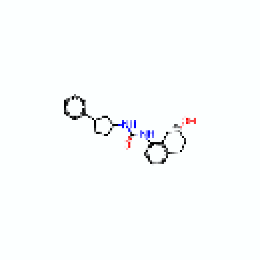 O=C(Nc1cccc2c1C[C@H](O)CC2)NC1CCC(c2ccccc2)C1